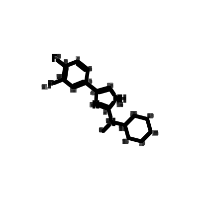 CN(c1nc(-c2ccc(F)c(F)c2)c[nH]1)C1CCCCC1